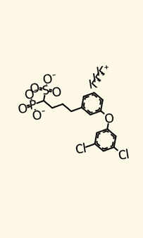 O=P([O-])([O-])C(CCCc1cccc(Oc2cc(Cl)cc(Cl)c2)c1)S(=O)(=O)[O-].[K+].[K+].[K+]